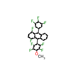 COc1c(F)c(F)c(-c2c3ccccc3c(-c3cc(F)c(F)c(F)c3)c3c(F)ccc(F)c23)c(F)c1F